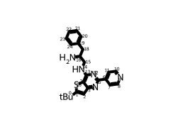 CC(C)(C)c1cc2nc(-c3ccncc3)nc(NCC(N)Cc3ccccc3)c2s1